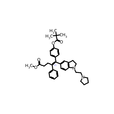 COC(=O)CC/C(=C(\c1ccc(OC(=O)C(C)(C)C)cc1)c1ccc2c(c1)CCN2CCN1CCCC1)c1ccccc1